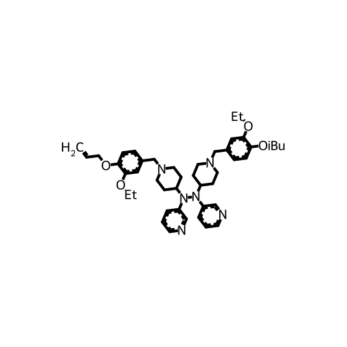 C=CCOc1ccc(CN2CCC(N(c3cccnc3)N(c3cccnc3)C3CCN(Cc4ccc(OCC(C)C)c(OCC)c4)CC3)CC2)cc1OCC